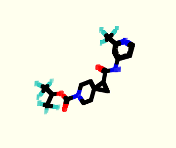 O=C(Nc1ccnc(C(F)(F)F)c1)C1CC12CCN(C(=O)OC(C(F)(F)F)C(F)(F)F)CC2